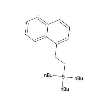 CCCC[Si](CCCC)(CCCC)CCc1cccc2ccccc12